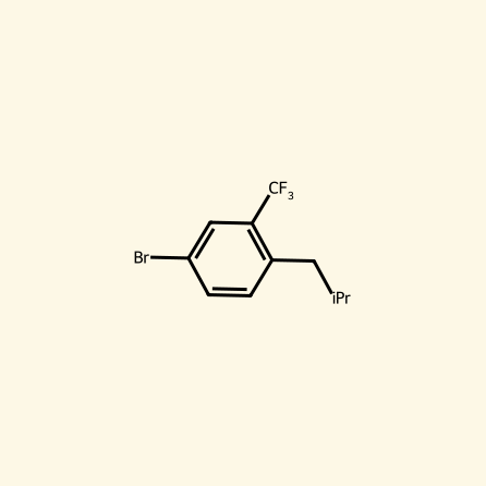 CC(C)Cc1ccc(Br)cc1C(F)(F)F